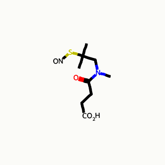 CN(CC(C)(C)SN=O)C(=O)CCC(=O)O